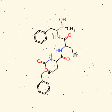 CB(O)C(Cc1ccccc1)NC(=O)C(CC(C)C)NC(=O)C(CC(C)C)NC(=O)OCc1ccccc1